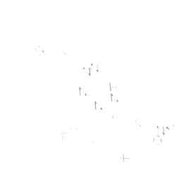 COc1ccc(-n2ncc3c(NC(=O)c4ccc([N+](=O)[O-])s4)nc(-c4ccc(F)c(OCCO)c4)nc32)cc1